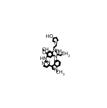 C=CC(=O)Nc1cc(Nc2nccc(C3=CN(C)C4C=CC=CC34)n2)c(OC)cc1N(C)CCN1CCC(O)C1